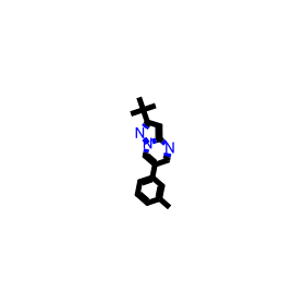 Cc1cccc(-c2cnc3cc(C(C)(C)C)nn3c2)c1